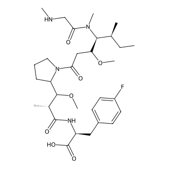 CC[C@H](C)[C@@H](C(CC(=O)N1CCCC1C(OC)[C@@H](C)C(=O)N[C@@H](Cc1ccc(F)cc1)C(=O)O)OC)N(C)C(=O)CNC